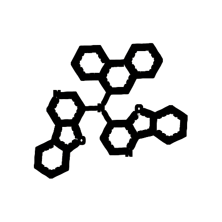 c1ccc2c(c1)cc(N(c1cncc3c1oc1ccccc13)c1ccnc3c1oc1ccccc13)c1ccccc12